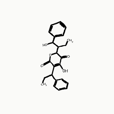 CCC(C1=C(O)C(=O)C(C(CC)C(O)c2ccccc2)OC1=O)c1ccccc1